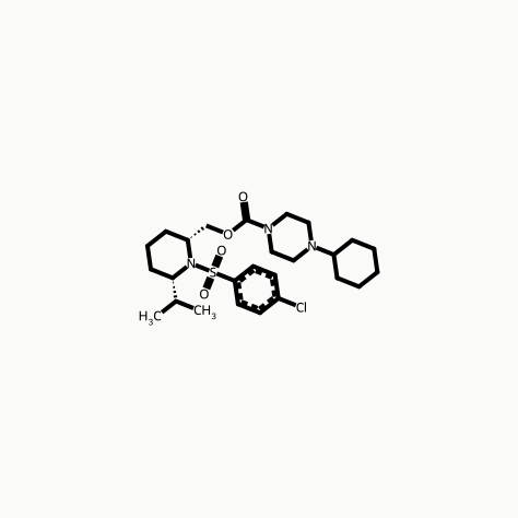 CC(C)[C@@H]1CCC[C@H](COC(=O)N2CCN(C3CCCCC3)CC2)N1S(=O)(=O)c1ccc(Cl)cc1